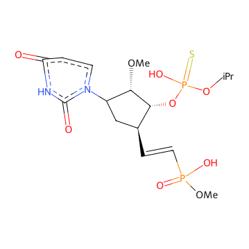 CO[C@H]1C(n2ccc(=O)[nH]c2=O)C[C@H](/C=C/P(=O)(O)OC)[C@H]1OP(O)(=S)OC(C)C